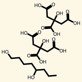 CCCC(O)CCCCO.O=C(O)CC(O)(CC(=O)O)C(=O)O.O=C(O)CC(O)(CC(=O)O)C(=O)O